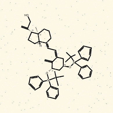 C=C1/C(=C\C=C2/CCC[C@]3(C)[C@@H](C(=C)CO)CC[C@@H]23)C[C@@H](O[Si](c2ccccc2)(c2ccccc2)C(C)(C)C)C[C@@H]1O[Si](c1ccccc1)(c1ccccc1)C(C)(C)C